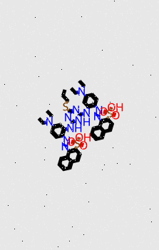 CCCSc1nc(Nc2cc(N(CC)CC)ccc2/N=N/c2c(S(=O)(=O)O)ccc3ccccc23)nc(Nc2cc(N(CC)CC)ccc2/N=N/c2c(S(=O)(=O)O)ccc3ccccc23)n1